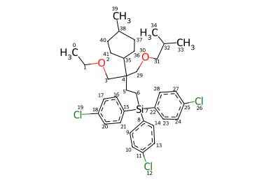 CCOCC(CC[Si](c1ccc(Cl)cc1)(c1ccc(Cl)cc1)c1ccc(Cl)cc1)(COCC(C)C)C1CCC(C)CC1